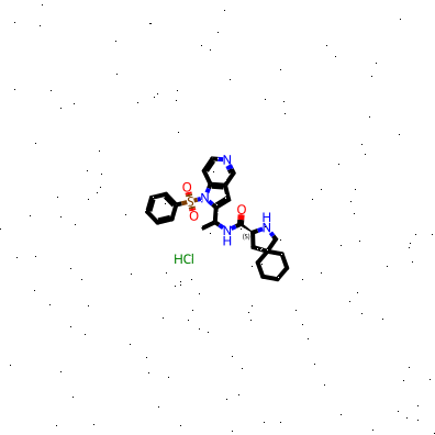 CC(NC(=O)[C@@H]1CC2(CCCCC2)CN1)c1cc2cnccc2n1S(=O)(=O)c1ccccc1.Cl